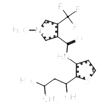 CC(C)CC(C)c1sccc1NC(=O)c1cn(C)cc1C(F)(F)F